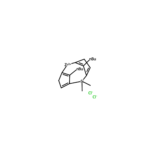 CCCCC1=[C]2CC=C1[Si](C)(C)C1=CC[C](=C1CCCC)[Zr+2]2.[Cl-].[Cl-]